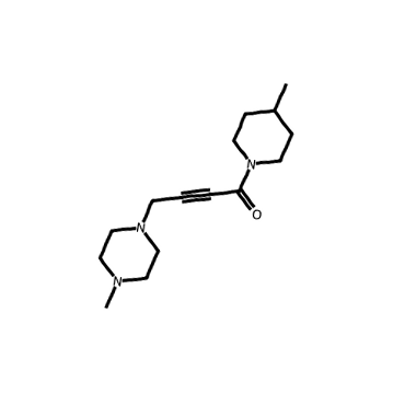 CC1CCN(C(=O)C#CCN2CCN(C)CC2)CC1